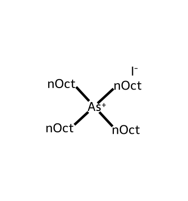 CCCCCCCC[As+](CCCCCCCC)(CCCCCCCC)CCCCCCCC.[I-]